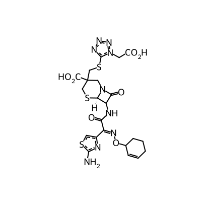 Nc1nc(C(=NOC2C=CCCC2)C(=O)NC2C(=O)N3CC(CSc4nnnn4CC(=O)O)(C(=O)O)CS[C@H]23)cs1